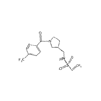 C=CS(=O)(=O)NCC1CCN(C(=O)c2ccc(C(F)(F)F)cc2)C1